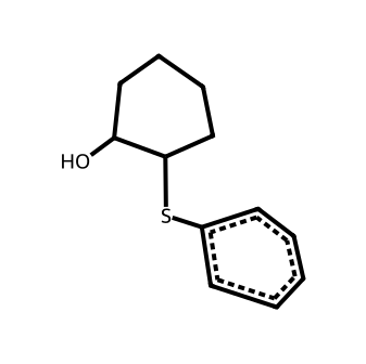 OC1CCCCC1Sc1ccccc1